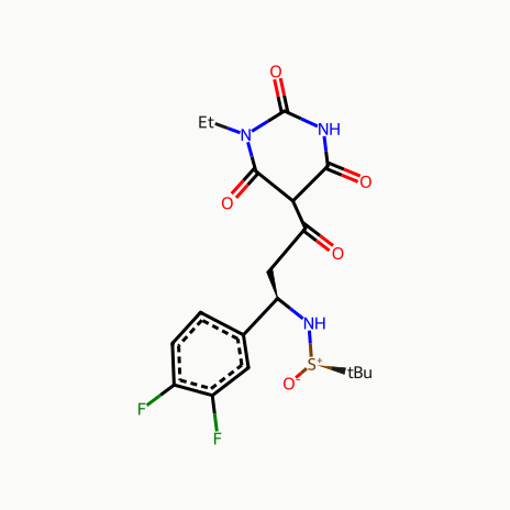 CCN1C(=O)NC(=O)C(C(=O)C[C@@H](N[S@+]([O-])C(C)(C)C)c2ccc(F)c(F)c2)C1=O